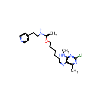 C=C(NCCc1ccncc1)OCCCCC/C=N\c1c(C)nc(Cl)nc1NC